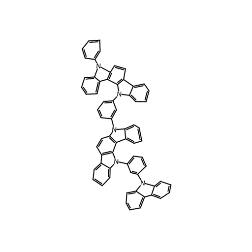 c1ccc(-n2c3ccccc3c3c2ccc2c4ccccc4n(-c4cccc(-n5c6ccccc6c6c5ccc5c7ccccc7n(-c7cccc(-n8c9ccccc9c9ccccc98)c7)c56)c4)c23)cc1